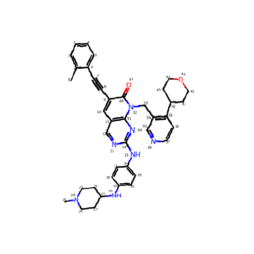 Cc1ccccc1C#Cc1cc2cnc(Nc3ccc(NC4CCN(C)CC4)cc3)nc2n(Cc2cnccc2C2CCOCC2)c1=O